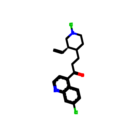 C=C[C@@H]1CN(Cl)CCC1CCC(=O)c1ccnc2cc(Cl)ccc12